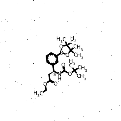 CCOC(=O)C[C@H](NC(=O)OC(C)(C)C)c1cccc(B2OC(C)(C)C(C)(C)O2)c1